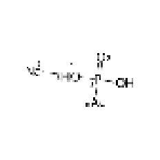 CC(=O)P(=O)(O)O.[CH3][Na]